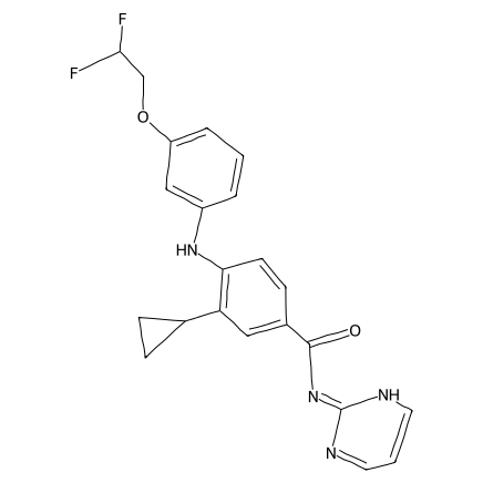 O=C(N=c1nccc[nH]1)c1ccc(Nc2cccc(OCC(F)F)c2)c(C2CC2)c1